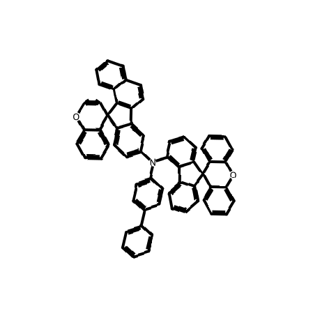 c1ccc(-c2ccc(N(c3ccc4c(c3)-c3ccc5ccccc5c3C43c4ccccc4Oc4ccccc43)c3cccc4c3-c3ccccc3C43c4ccccc4Oc4ccccc43)cc2)cc1